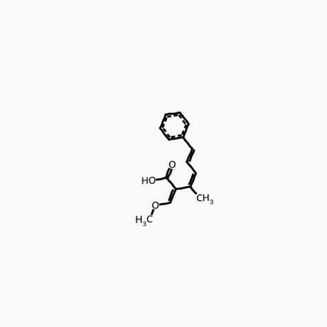 COC=C(C(=O)O)C(C)=CC=Cc1ccccc1